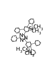 C[Si]1(C)c2ccccc2-c2cc(-c3ccccc3)c(-c3nc(-c4ccccc4)nc(-c4cc(-c5ccccc5)c5c(c4)[Si](C)(C)c4ccccc4-5)n3)cc21